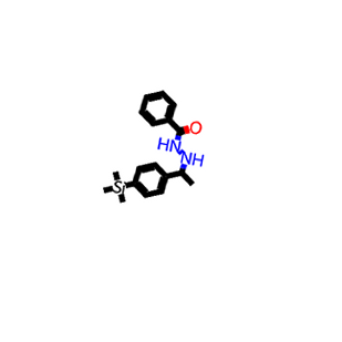 CC(NNC(=O)c1ccccc1)c1ccc([Si](C)(C)C)cc1